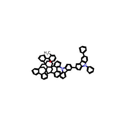 Cc1ccccc1-c1ccccc1C12CCCC34CC(CC5(CC(C1)c1ccccc1-c1ccccc15)C23)c1ccccc1-c1c(-n2c3ccccc3c3cc(-c5ccc6c(c5)c5cc(-c7ccccc7)ccc5n6-c5ccccc5)ccc32)cccc14